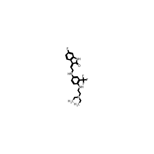 CCN(CC)CCNc1ccc(NCC=C2C(=O)Nc3cc(F)ccc32)cc1C(F)(F)F